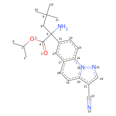 CC(C)OC(=O)C(N)(CC(C)(C)C)c1ccc2c(ccc3c(C#N)cnn32)c1